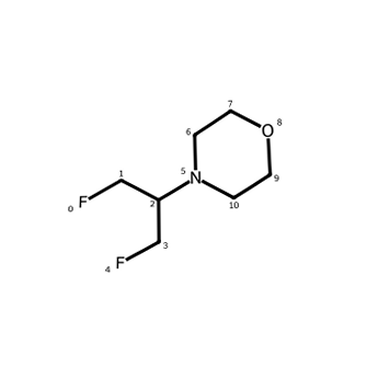 FCC(CF)N1CCOCC1